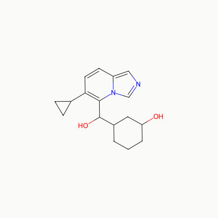 OC1CCCC(C(O)c2c(C3CC3)ccc3cncn23)C1